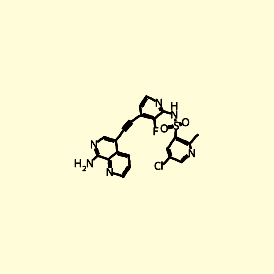 Cc1ncc(Cl)cc1S(=O)(=O)Nc1nccc(C#Cc2cnc(N)c3ncccc23)c1F